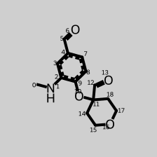 CNc1cc(C=O)ccc1OC1(C=O)CCOCC1